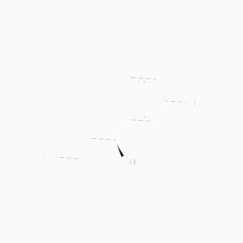 CCC[C@H](O)c1cccc(C)c1